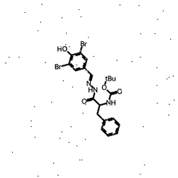 CC(C)(C)OC(=O)NC(Cc1ccccc1)C(=O)NN=Cc1cc(Br)c(O)c(Br)c1